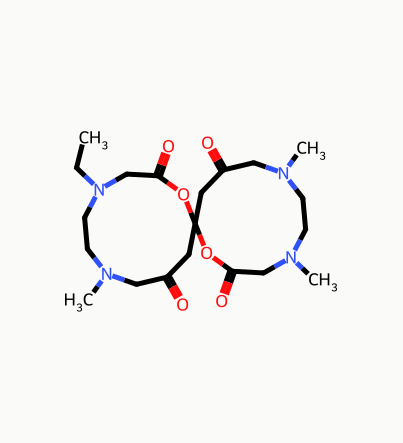 CCN1CCN(C)CC(=O)CC2(CC(=O)CN(C)CCN(C)CC(=O)O2)OC(=O)C1